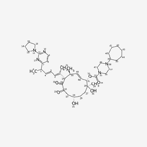 C/C(=C\C=C\C(C)c1ccnc(N2CCCC2)n1)[C@H]1C(=O)C(=O)C[C@@H](O)CC[C@](C)(O)[C@@H](OC(=O)N2CCN(C3CCCCCC3)CC2)/C=C/[C@@H]1C